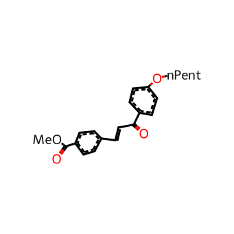 CCCCCOc1ccc(C(=O)C=Cc2ccc(C(=O)OC)cc2)cc1